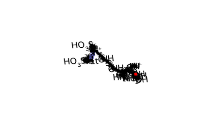 CCN1/C(=C/C=C/C2=[N+](CCCCCC(=O)NCCSSCCC(=O)NCC#Cc3cn([C@H]4C[C@@H](OCN=[N+]=[N-])[C@@H](COP(=O)(O)CP(=O)(O)CP(=O)(O)O)O4)c4nc(N)[nH]c(=O)c34)c3ccc(S(=O)(=O)O)cc3C2(C)C)C(C)(C)c2cc(S(=O)(=O)O)ccc21